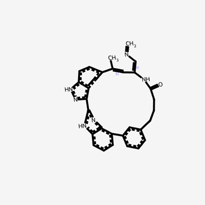 C=N/C=C1\C=C(/C)c2ccc3[nH]nc(c3c2)-c2nc3c(cccc3[nH]2)-c2cccc(c2)CCCC(=O)N1